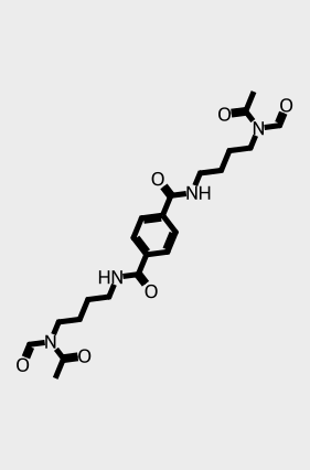 CC(=O)N(C=O)CCCCNC(=O)c1ccc(C(=O)NCCCCN(C=O)C(C)=O)cc1